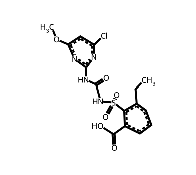 CCc1cccc(C(=O)O)c1S(=O)(=O)NC(=O)Nc1nc(Cl)cc(OC)n1